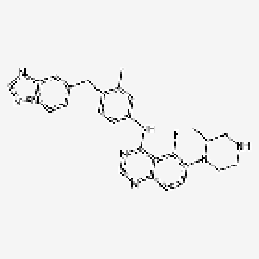 Cc1cc(Nc2ncnc3ccc(N4CCNCC4C)c(F)c23)ccc1Cc1ccn2ncnc2c1